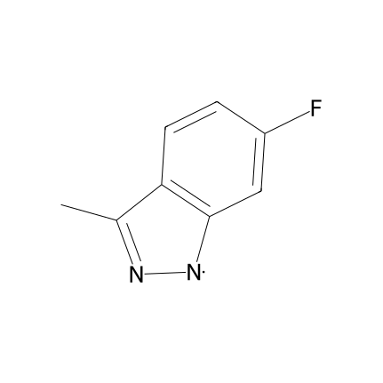 CC1=N[N]c2cc(F)ccc21